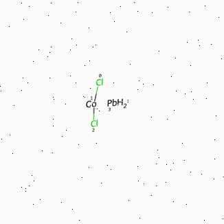 [Cl][Co][Cl].[PbH2]